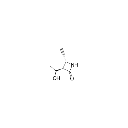 C#C[C@@H]1NC(=O)[C@H]1C(C)O